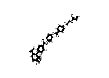 C=CC(=O)OCCOc1ccc(C(=O)Oc2ccc(OC(=O)c3ccc(C4C(C(C)C)CCC(C)(F)C4(F)F)cc3)cc2)cc1